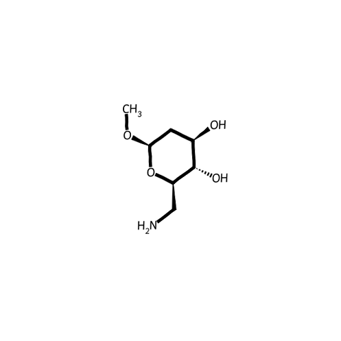 CO[C@H]1C[C@@H](O)[C@H](O)[C@@H](CN)O1